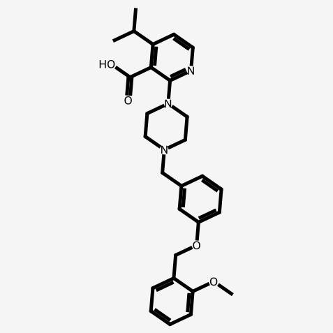 COc1ccccc1COc1cccc(CN2CCN(c3nccc(C(C)C)c3C(=O)O)CC2)c1